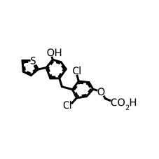 O=C(O)COc1cc(Cl)c(Cc2ccc(O)c(-c3cccs3)c2)c(Cl)c1